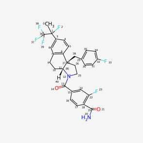 CC(F)(c1ccc2c(c1)CC[C@H]1N(C(=O)c3ccc(C(N)=O)c(F)c3)CC[C@@]21Cc1ccc(F)cc1)C(F)(F)F